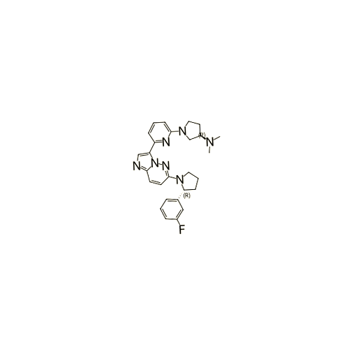 CN(C)[C@@H]1CCN(c2cccc(-c3cnc4ccc(N5CCC[C@@H]5c5cccc(F)c5)nn34)n2)C1